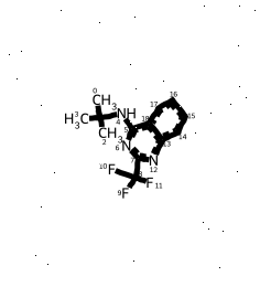 CC(C)(C)Nc1nc(C(F)(F)F)nc2ccccc12